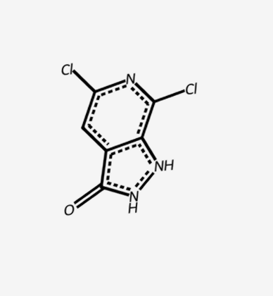 O=c1[nH][nH]c2c(Cl)nc(Cl)cc12